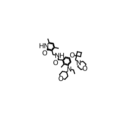 CCN(c1cc(OC2(CN3CCOCC3)CCC2)cc(C(=O)NCc2c(C)cc(C)[nH]c2=O)c1C)C1CCOCC1